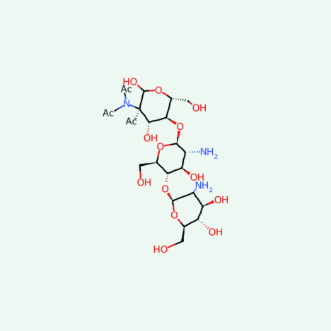 CC(=O)N(C(C)=O)[C@@]1(C(C)=O)C(O)O[C@H](CO)[C@@H](O[C@@H]2O[C@H](CO)[C@@H](O[C@@H]3O[C@H](CO)[C@@H](O)[C@H](O)[C@H]3N)[C@H](O)[C@H]2N)[C@@H]1O